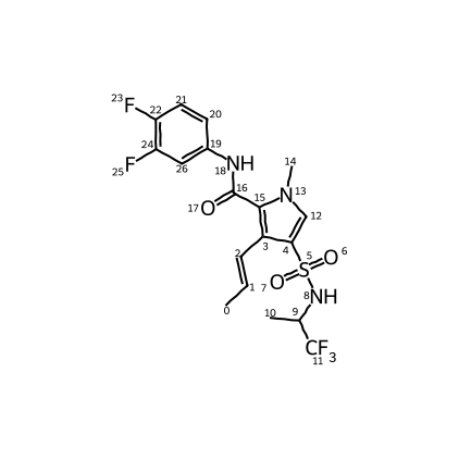 C/C=C/c1c(S(=O)(=O)NC(C)C(F)(F)F)cn(C)c1C(=O)Nc1ccc(F)c(F)c1